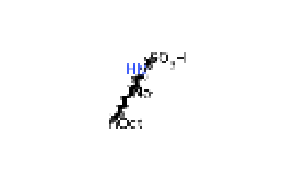 CCCCCCCCC=CCCCCCCCCNCCS(=O)(=O)O.[Na]